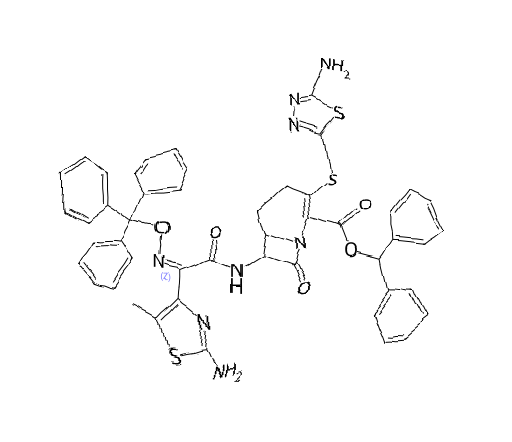 Cc1sc(N)nc1/C(=N/OC(c1ccccc1)(c1ccccc1)c1ccccc1)C(=O)NC1C(=O)N2C(C(=O)OC(c3ccccc3)c3ccccc3)=C(Sc3nnc(N)s3)CCC12